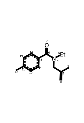 C=C(C)CN(CC)C(=O)c1ccc(C)cc1